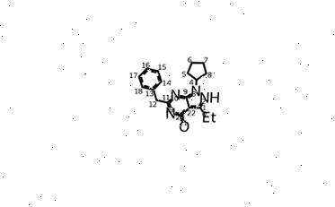 CCc1[nH]n(C2CCCC2)c2nc(Cc3ccccc3)nc(=O)c1-2